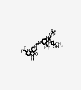 CC1(O)CC(n2c(COC(F)(F)F)nc3cc(OCCN4CCC5(CC4)C(=O)Nc4ccc(C(F)F)nc45)cc(C(F)(F)F)c32)C1